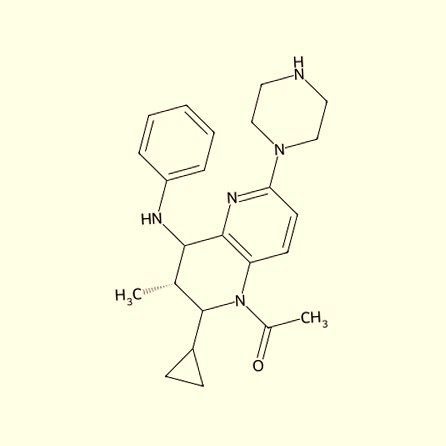 CC(=O)N1c2ccc(N3CCNCC3)nc2C(Nc2ccccc2)[C@@H](C)C1C1CC1